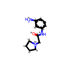 Nc1cccc(NC(=O)CN2CCCC2)c1